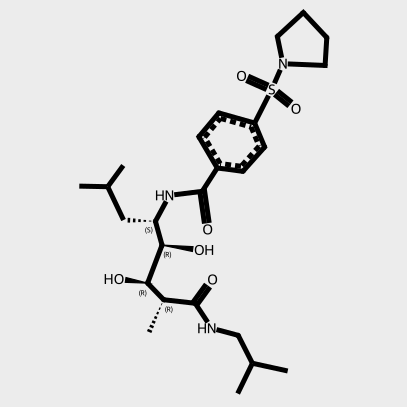 CC(C)CNC(=O)[C@H](C)[C@@H](O)[C@H](O)[C@H](CC(C)C)NC(=O)c1ccc(S(=O)(=O)N2CCCC2)cc1